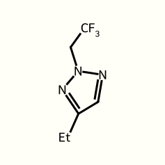 CCc1cnn(CC(F)(F)F)n1